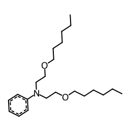 CCCCCCOCCN(CCOCCCCCC)c1ccccc1